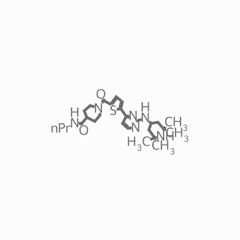 CCCNC(=O)C1CCN(C(=O)c2ccc(-c3ccnc(NC4CC(C)(C)NC(C)(C)C4)n3)s2)CC1